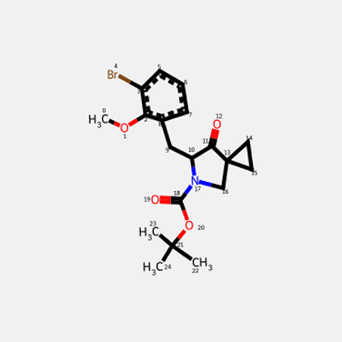 COc1c(Br)cccc1CC1C(=O)C2(CC2)CN1C(=O)OC(C)(C)C